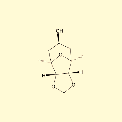 C[C@]12C[C@@H](O)C[C@](C)(O1)[C@@H]1OCO[C@@H]12